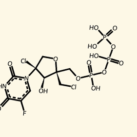 O=c1[nH]c(=O)n([C@]2(Cl)CO[C@](CCl)(COP(=O)(O)OP(=O)(O)OP(=O)(O)O)[C@H]2O)cc1F